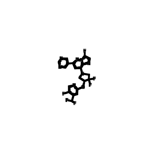 Fc1cnc(O[C@H]2CN(c3cc(-c4cncnc4)nn4c(F)cnc34)CC2(F)F)cc1C(F)F